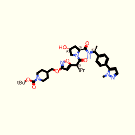 CC(C)[C@H](C(=O)N1C[C@H](O)C[C@H]1C(=O)N[C@@H](C)c1ccc(-c2ccnn2C)cc1)c1cc(OCC2CCN(C(=O)OC(C)(C)C)CC2)no1